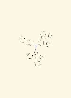 c1ccc2c(c1)Sc1ccccc1C21c2ccccc2-c2cc(N(c3ccc4c(c3)-c3ccccc3C43c4ccccc4Sc4ccccc43)c3ccc4c(c3)oc3ccccc34)ccc21